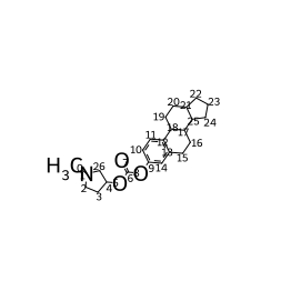 CN1CCC(OC(=O)Oc2ccc3c(c2)CCC2C3CCC3CCCC32)C1